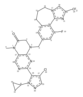 CN1C(=O)CN(Cc2cc(F)c3c(c2)CCCn2cc(C(F)(F)F)nc2-3)c2nc(-c3c(Cl)cnn3C3CC3)ncc21